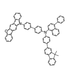 CC1(C)c2ccccc2-c2ccc(-c3ccc(N(c4ccc(-c5ccc(-n6c7ccccc7c7cc8oc9ccccc9c8cc76)cc5)cc4)c4ccc(-c5ccccc5)c5ccccc45)cc3)cc21